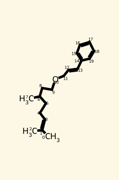 CC(C)=CCCC(C)CCOCC=Cc1ccccc1